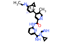 CC/N=C(\C=C/C(C)c1cc(C(=O)Nc2cccc(C(=N)N(C=N)C3CC3)n2)ncc1C)C1CC1